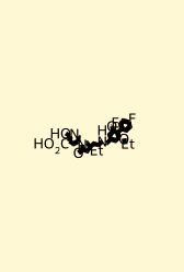 CCOc1cc(CNCCC2(CC)CC(=O)N(c3cnc(O)c(C(=O)O)c3)C2)cc(OCC)c1-c1ccc(F)cc1